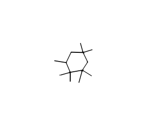 CC1CC(C)(C)CC(C)(C)C1(C)I